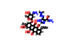 CN(C)/N=N/c1[nH]cnc1C(N)=O.COc1cccc2c1C(=O)c1c(O)c3c(c(O)c1C2=O)C[C@@](O)(C(C)=O)C[C@@H]3O[C@H]1C[C@H](N)[C@H](O)[C@H](C)O1